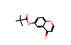 CC(C)(C)C(=O)Oc1ccc2occc(=O)c2c1